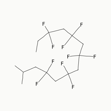 CCC(F)(F)CC(F)(F)CC(F)(F)CC(F)(F)CC(F)(F)CC(C)C